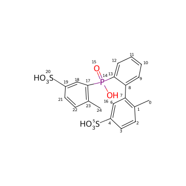 Cc1ccc(S(=O)(=O)O)cc1-c1ccccc1P(=O)(O)c1cc(S(=O)(=O)O)ccc1C